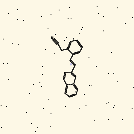 N#CCc1ccccc1/C=C/c1ccc2ccccc2c1